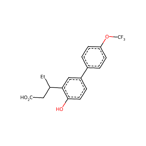 CCC(CC(=O)O)c1cc(-c2ccc(OC(F)(F)F)cc2)ccc1O